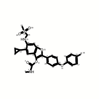 CNC(=O)Oc1c(-c2ccc(Oc3ccc(F)cc3)cc2)oc2cc(NCS(C)(=O)=O)c(C3CC3)cc12